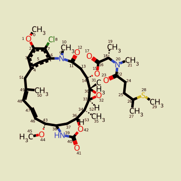 COc1cc2cc(c1Cl)N(C)C(=O)C[C@H](OC(=O)[C@H](C)N(C)C(=O)CCC(C)SC)[C@]1(C)O[C@H]1[C@H](C)[C@@H]1CC(NC(=O)O1)[C@H](OC)/C=C/C=C(\C)C2